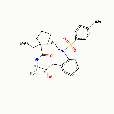 COCC1(C(=O)N[C@@H](C)[C@@H](O)Cc2ccccc2N(CC(C)C)S(=O)(=O)c2ccc(OC)cc2)CCCC1